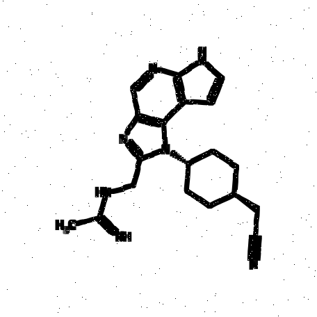 CC(=N)NCc1nc2cnc3[nH]ccc3c2n1[C@H]1CC[C@H](CC#N)CC1